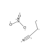 CCC#N.Cl[SiH](Cl)Cl